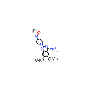 COc1cc2nc(N3CCC(=NOC(C)C)CC3)nc(N)c2cc1OC